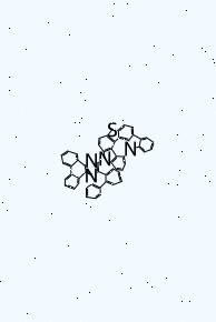 c1ccc(-c2ccccc2-c2nc3c4ccccc4c4ccccc4c3nc2-n2c3ccc4sc5ccc6c7ccccc7n7c8cccc2c8c3c4c5c67)cc1